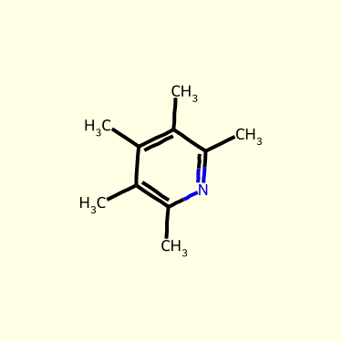 Cc1nc(C)c(C)c(C)c1C